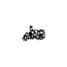 Cn1ccnc1CON=C(c1ccc(=O)n(-c2c(Cl)cccc2Cl)c1)c1ccc(F)cc1F